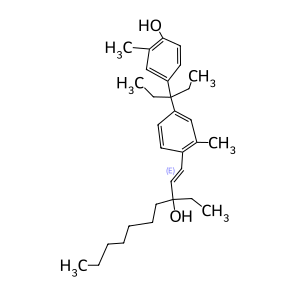 CCCCCCCC(O)(/C=C/c1ccc(C(CC)(CC)c2ccc(O)c(C)c2)cc1C)CC